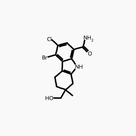 CC1(CO)CCc2c([nH]c3c(C(N)=O)cc(Cl)c(Br)c23)C1